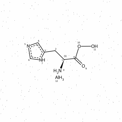 N[C@@H](Cc1cnc[nH]1)C(=O)OO.[AlH3]